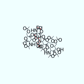 CO[C@H]1OC(COC(C)=O)[C@H](OC2OC(COC(C)=O)C(O[C@H]3OC(COC(C)=O)[C@H](OC4OC(COC(C)=O)C(O)[C@H](OC(C)=O)C4NC(C)=O)C(OC(C)=O)C3NC(C)=O)[C@H](OC(C)=O)C2NC(C)=O)C(OC(C)=O)C1NC(C)=O